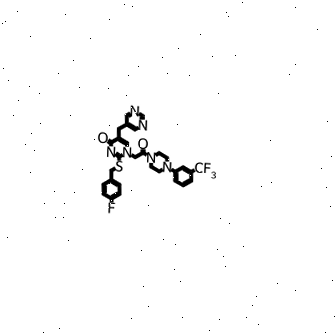 O=C(Cn1cc(Cc2cncnc2)c(=O)nc1SCc1ccc(F)cc1)N1CCN(c2cccc(C(F)(F)F)c2)CC1